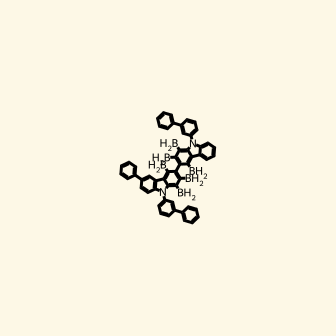 Bc1c(-c2c(B)c(B)c3c(c2B)c2cc(-c4ccccc4)ccc2n3-c2cccc(-c3ccccc3)c2)c(B)c2c3ccccc3n(-c3cccc(-c4ccccc4)c3)c2c1B